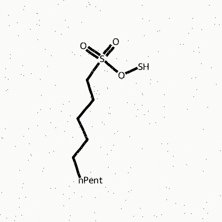 CCCCCCCCCCS(=O)(=O)OS